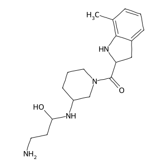 Cc1cccc2c1NC(C(=O)N1CCCC(NC(O)CCN)C1)C2